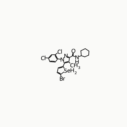 Cc1c(C(=O)NC2CCCCC2)nn(-c2ccc(Cl)cc2Cl)c1C1=CC=C(Br)[SeH2]1